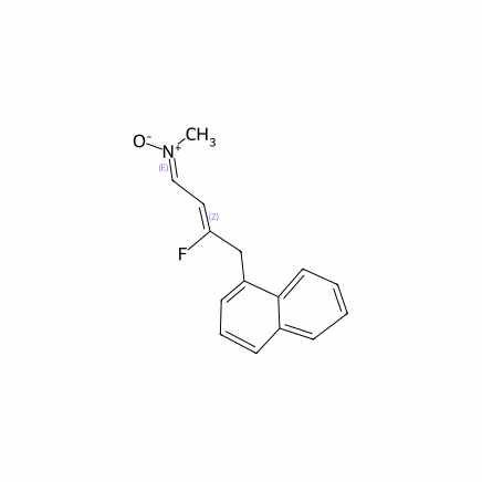 C/[N+]([O-])=C\C=C(/F)Cc1cccc2ccccc12